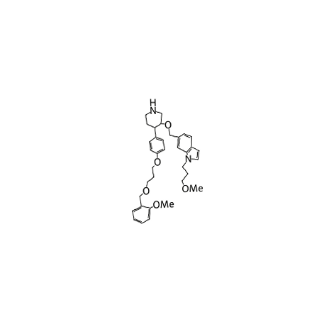 COCCCn1ccc2ccc(COC3CNCCC3c3ccc(OCCCOCc4ccccc4OC)cc3)cc21